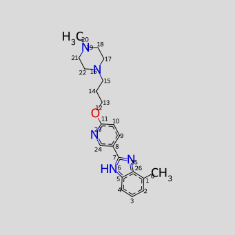 Cc1cccc2[nH]c(-c3ccc(OCCCN4CCN(C)CC4)nc3)nc12